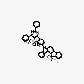 CC1(C)c2ccccc2-c2ccc3c(c21)c1ccccc1n3-c1ccc2c(c1)[Si](C)(C)c1c(-c3ccccc3)nc(-c3ccccc3)nc1-2